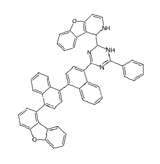 C1=Cc2oc3ccccc3c2C(C2N=C(c3ccc(-c4ccc(-c5cccc6oc7ccccc7c56)c5ccccc45)c4ccccc34)N=C(c3ccccc3)N2)N1